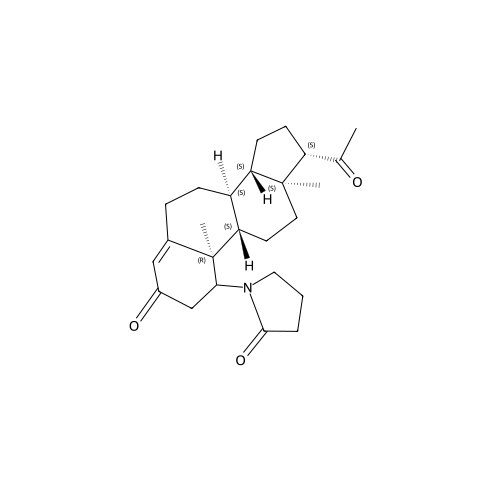 CC(=O)[C@H]1CC[C@H]2[C@@H]3CCC4=CC(=O)CC(N5CCCC5=O)[C@]4(C)[C@H]3CC[C@]12C